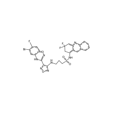 O=S(=O)(CCCNc1nonc1C(=NO)Nc1ccc(F)c(Br)c1)NC1=c2cc3ccccc3nc2=CC(F)(F)C1